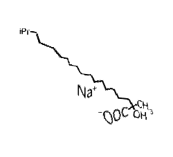 CC(C)CCCCCCCCCCCCCCCC(C)(O)C(=O)[O-].[Na+]